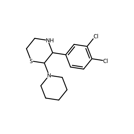 Clc1ccc(C2NCCSC2N2CCCCC2)cc1Cl